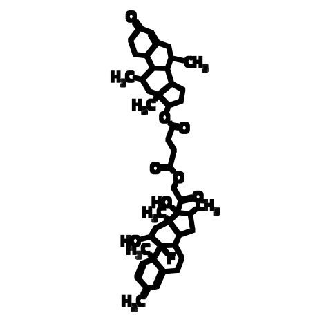 C=C1C=CC2(C)C(=C1)CCC1C3CC(C)C(O)(C(=O)COC(=O)CCC(=O)OC4CCC5C6C(C)CC7=CC(=O)CCC7C6C(C)CC45C)C3(C)CC(O)C12F